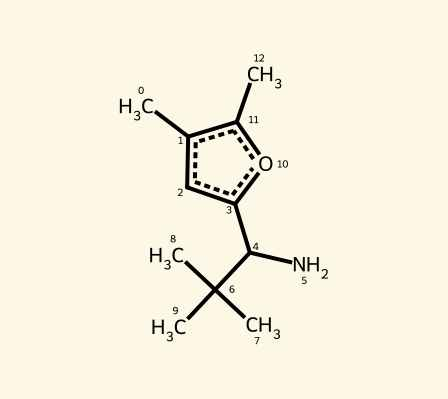 Cc1cc(C(N)C(C)(C)C)oc1C